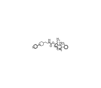 Cc1c(OC(=O)NCCC2CCN(c3ccncc3)CC2)nn(C)c1NC(=O)c1ccccc1Cl